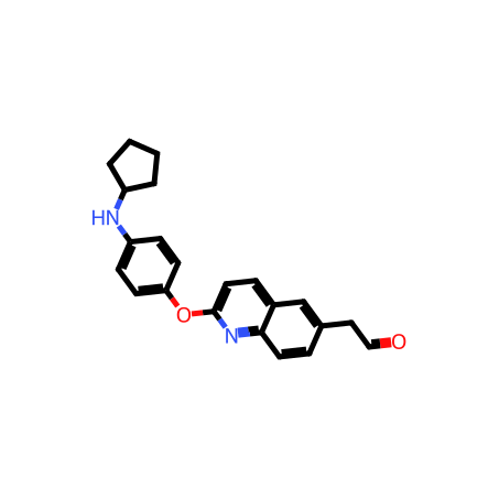 O=CCc1ccc2nc(Oc3ccc(NC4CCCC4)cc3)ccc2c1